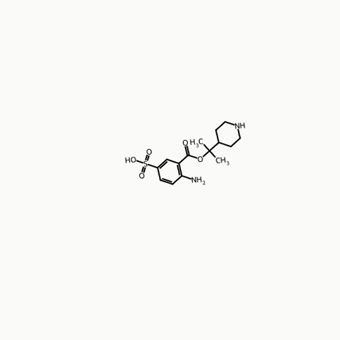 CC(C)(OC(=O)c1cc(S(=O)(=O)O)ccc1N)C1CCNCC1